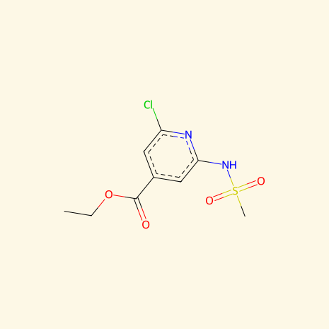 CCOC(=O)c1cc(Cl)nc(NS(C)(=O)=O)c1